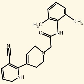 Cc1cccc(C)c1NC(=O)CN1CC=C(C2=C(C#N)C=CCN2)CC1